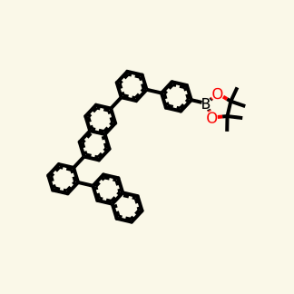 CC1(C)OB(c2ccc(-c3cccc(-c4ccc5cc(-c6ccccc6-c6ccc7ccccc7c6)ccc5c4)c3)cc2)OC1(C)C